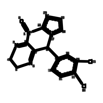 O=[N+]1C2=NCCN=C2C(c2ccc(Cl)c(Cl)c2)n2ccnc21